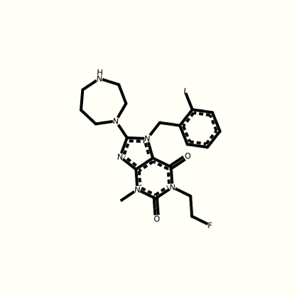 Cn1c(=O)n(CCF)c(=O)c2c1nc(N1CCCNCC1)n2Cc1ccccc1I